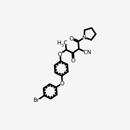 CC(Oc1ccc(Oc2ccc(Br)cc2)cc1)C(=O)C(C#N)C(=O)N1CCCC1